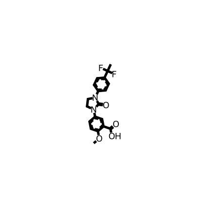 COc1ccc(N2CCN(c3ccc(C(C)(F)F)cc3)C2=O)cc1C(=O)O